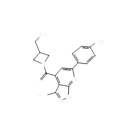 Cc1n[nH]c2nc(-c3ccc(O)cc3)cc(C(=O)N3CC(CN)C3)c12